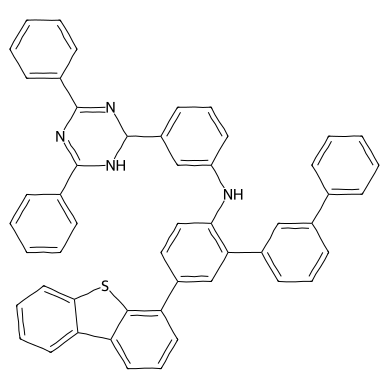 c1ccc(C2=NC(c3cccc(Nc4ccc(-c5cccc6c5sc5ccccc56)cc4-c4cccc(-c5ccccc5)c4)c3)NC(c3ccccc3)=N2)cc1